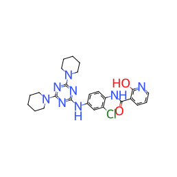 O=C(Nc1ccc(Nc2nc(N3CCCCC3)nc(N3CCCCC3)n2)cc1Cl)c1cccnc1O